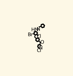 O=C(c1ccc(Cc2c(Cl)cc(NN=Cc3ccccc3)cc2Br)cc1)c1ccc(Cl)nc1